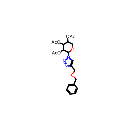 CC(=O)OC1COC(n2cc(COCc3ccccc3)nn2)C(OC(C)=O)C1OC(C)=O